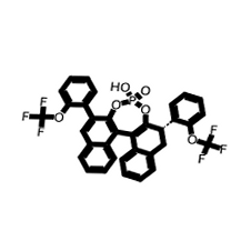 O=P1(O)OC2=C(c3ccccc3C[C@H]2c2ccccc2OC(F)(F)F)c2c(c(-c3ccccc3OC(F)(F)F)cc3ccccc23)O1